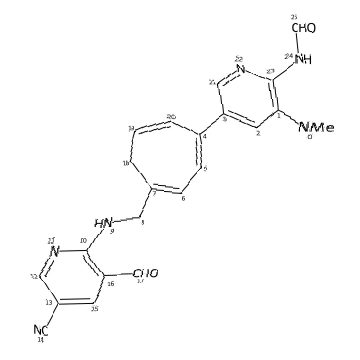 CNc1cc(C2=CC=C(CNc3ncc(C#N)cc3C=O)CC=C2)cnc1NC=O